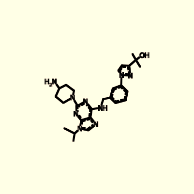 CC(C)n1cnc2c(NCc3cccc(-n4ccc(C(C)(C)O)n4)c3)nc(N3CCC(N)CC3)nc21